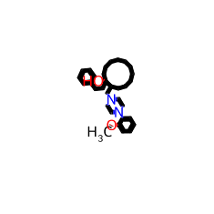 COc1ccccc1N1CCN(CC2CCCCCCCCCCC2(O)CCc2ccccc2)CC1